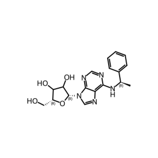 C[C@@H](Nc1ncnc2c1ncn2[C@@H]1O[C@H](CO)C(O)C1O)c1ccccc1